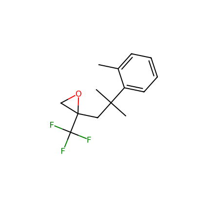 Cc1ccccc1C(C)(C)CC1(C(F)(F)F)CO1